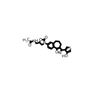 CC(=O)NCC1CN(c2ccc3c(c2)CCCc2c(-c4cscc4O)noc2-3)C(=O)O1